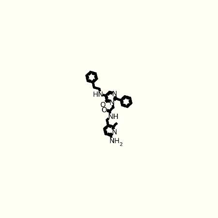 Cc1nc(N)ccc1CNC(=O)Cn1c(-c2ccccc2)ncc(NCCc2ccccc2)c1=O